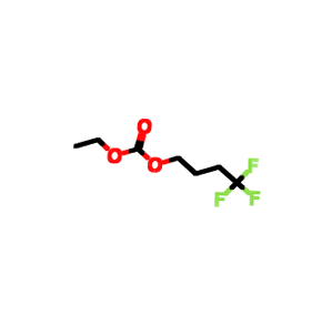 CCOC(=O)OCCCC(F)(F)F